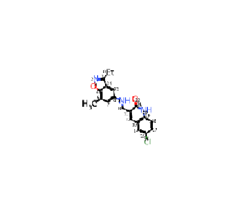 CCc1noc2c(C)cc(NCc3cc4cc(Cl)ccc4[nH]c3=O)cc12